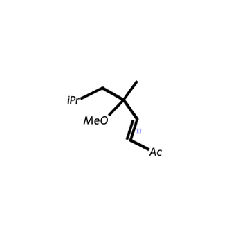 COC(C)(/C=C/C(C)=O)CC(C)C